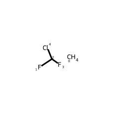 C.FC(F)Cl